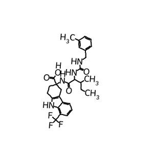 CCC(C)C(NC(=O)NCc1cccc(C)c1)C(=O)NC1(C(=O)O)CCc2[nH]c3c(C(F)(F)F)cccc3c2C1